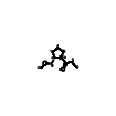 CCC(=O)N1CCC[C@H]1COC